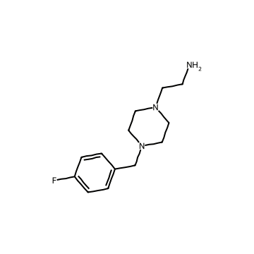 NCCN1CCN(Cc2ccc(F)cc2)CC1